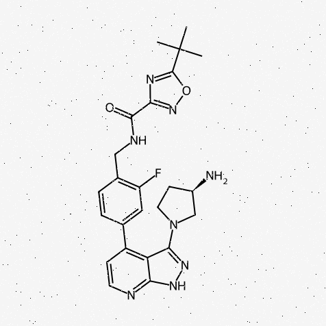 CC(C)(C)c1nc(C(=O)NCc2ccc(-c3ccnc4[nH]nc(N5CC[C@@H](N)C5)c34)cc2F)no1